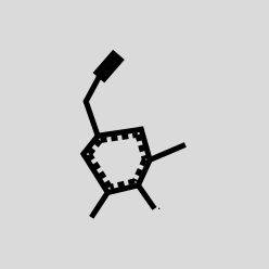 C#CCc1cc(C)c([CH2])c(C)c1